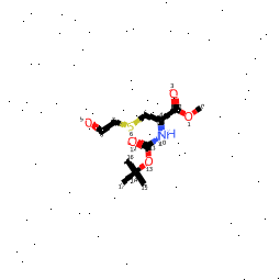 COC(=O)C(CSCC=O)NC(=O)OC(C)(C)C